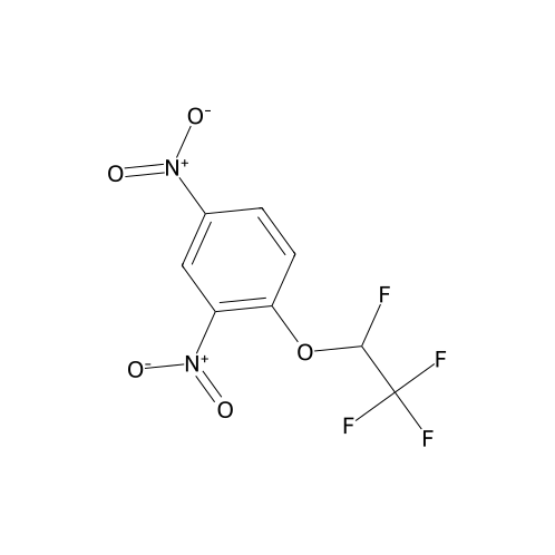 O=[N+]([O-])c1ccc(OC(F)C(F)(F)F)c([N+](=O)[O-])c1